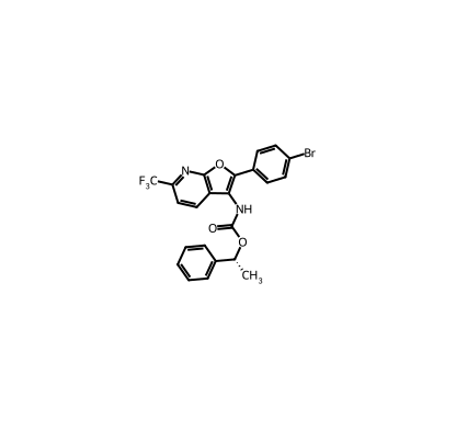 C[C@@H](OC(=O)Nc1c(-c2ccc(Br)cc2)oc2nc(C(F)(F)F)ccc12)c1ccccc1